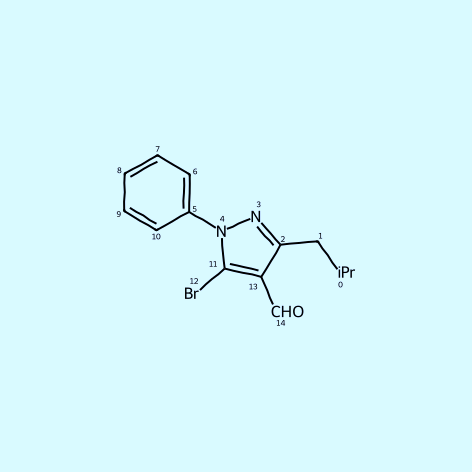 CC(C)Cc1nn(-c2ccccc2)c(Br)c1C=O